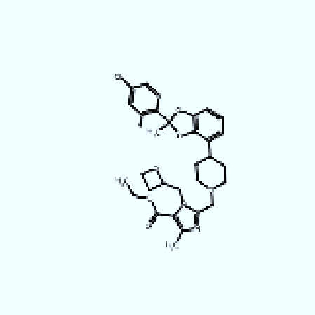 CCOC(=O)c1c(C)nc(CN2CCC(c3cccc4c3OC(C)(c3ccc(Cl)cc3F)O4)CC2)n1CC1CCO1